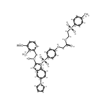 COc1ccnc(C[S+]([O-])c2nc3cc(-n4cccc4)ccc3n2S(=O)(=O)c2ccc(OCC(=O)OCCS(=O)(=O)c3ccc(C)cc3)cc2)c1C